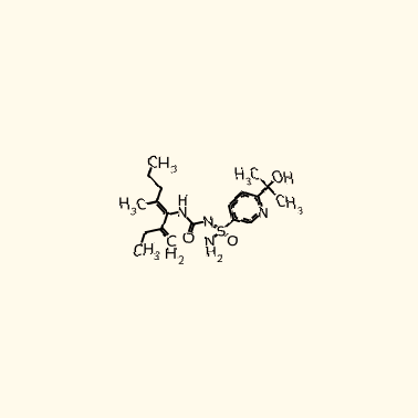 C=C(CC)/C(NC(=O)N=S(N)(=O)c1ccc(C(C)(C)O)nc1)=C(\C)CCC